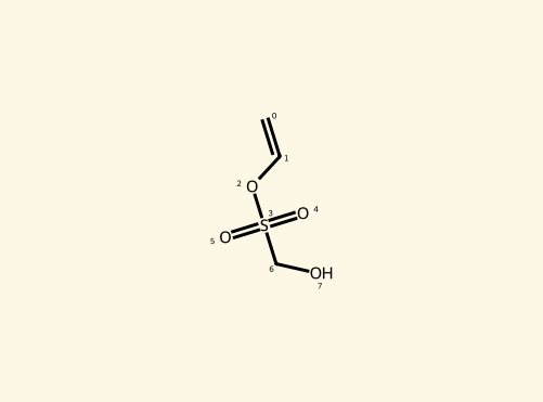 C=COS(=O)(=O)CO